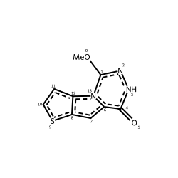 COc1n[nH]c(=O)c2cc3sccc3n12